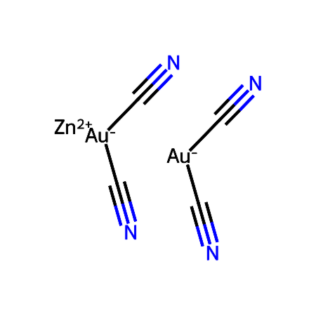 N#[C][Au-][C]#N.N#[C][Au-][C]#N.[Zn+2]